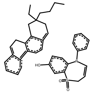 CCCCC1(CC)CC=c2ccc3c(c2C1)CC=c1ccccc1=3.O=S1(=O)CC=CN(c2ccccc2)c2ccc(O)cc21